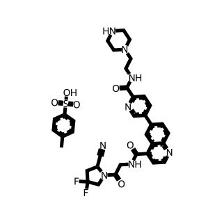 Cc1ccc(S(=O)(=O)O)cc1.N#CC1CC(F)(F)CN1C(=O)CNC(=O)c1ccnc2ccc(-c3ccc(C(=O)NCCN4CCNCC4)nc3)cc12